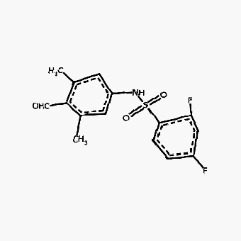 Cc1cc(NS(=O)(=O)c2ccc(F)cc2F)cc(C)c1C=O